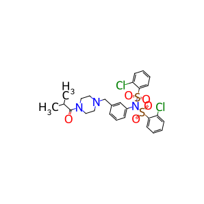 CC(C)C(=O)N1CCN(Cc2cccc(N(S(=O)(=O)c3ccccc3Cl)S(=O)(=O)c3ccccc3Cl)c2)CC1